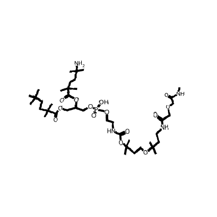 CNC(=O)COCC(=O)NCCC(C)(C)OCCC(C)(C)OC(=O)NCCOP(=O)(O)OCC(COC(=O)C(C)(C)CCC(C)(C)C)OC(=O)C(C)(C)CCC(C)(C)N